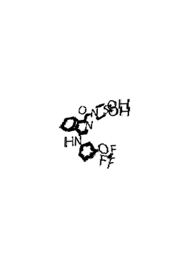 O=C(c1ncc(Nc2cccc(OC(F)(F)F)c2)c2c1C1CCC2CC1)N1CCS(O)(O)CC1